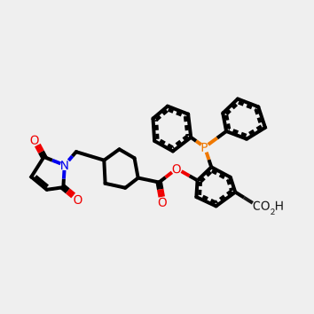 O=C(O)c1ccc(OC(=O)C2CCC(CN3C(=O)C=CC3=O)CC2)c(P(c2ccccc2)c2ccccc2)c1